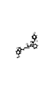 COc1ccc2[nH]cc(CCNC(=O)NOC3(C(=O)Nc4ccc(Cl)cc4)CCCCC3)c2c1